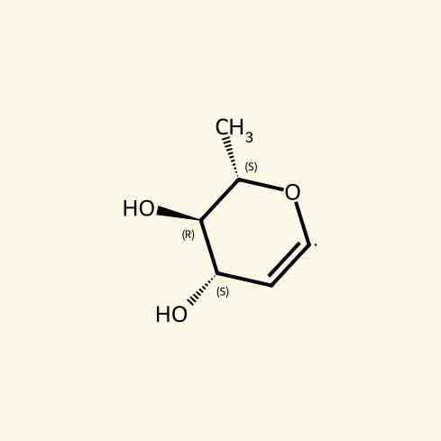 C[C@@H]1O[C]=C[C@H](O)[C@H]1O